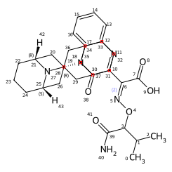 CC(C)C(O/N=C(\C(=O)O)c1nc2ccccc2n([C@H]2C[C@H]3CCC[C@@H](C2)N3C2CC3CCCC(C3)C2)c1=O)C(N)=O